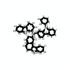 c1ccc(-n2c3ccccc3c3ccc(N(c4ccc5ccc6sc7ccccc7c6c5c4)c4cccc5c4oc4ccccc45)cc32)cc1